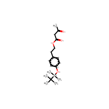 CC(=O)CC(=O)OCCc1ccc(O[Si](C)(C)C(C)(C)C)cc1